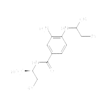 CC(C)CC(C)Nc1ccc(C(=O)N[C@@H](CC(C)C)C(=O)O)cc1N